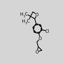 CC1(C)COC1c1ccc(OCC2CO2)c(Cl)c1